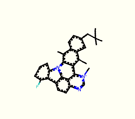 Cc1c2cc(CC(C)(C)C)ccc2c(C)c2c1c1c3c(ccc4c5c(F)cccc5n2c43)nc[n+]1C